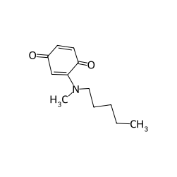 CCCCCN(C)C1=CC(=O)C=CC1=O